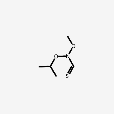 CON(C=S)OC(C)C